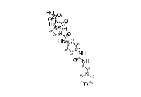 O=C(NCCN1CCOCC1)Nc1ccc(NC(=O)N2CC[C@@H]3[C@H]2C(=O)N3S(=O)(=O)O)cc1